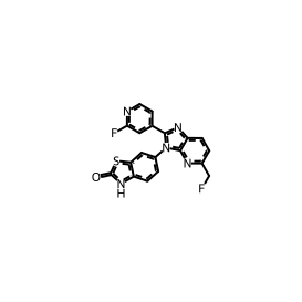 O=c1[nH]c2ccc(-n3c(-c4ccnc(F)c4)nc4ccc(CF)nc43)cc2s1